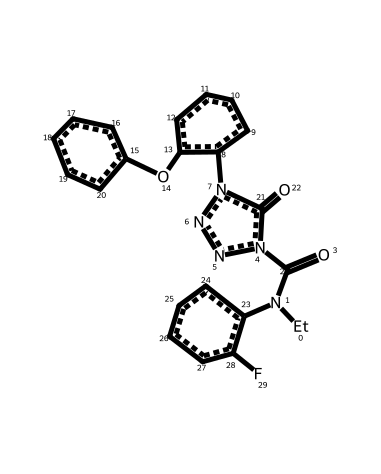 CCN(C(=O)n1nnn(-c2ccccc2Oc2ccccc2)c1=O)c1ccccc1F